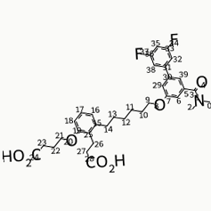 CN(C)C(=O)c1cc(OCCCCCCc2cccc(OCCCC(=O)O)c2CCC(=O)O)cc(-c2cc(F)cc(F)c2)c1